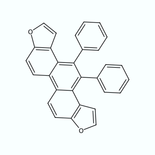 c1ccc(-c2c(-c3ccccc3)c3c4ccoc4ccc3c3ccc4occc4c23)cc1